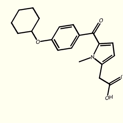 Cn1c(CC(=O)O)ccc1C(=O)c1ccc(OC2CCCCC2)cc1